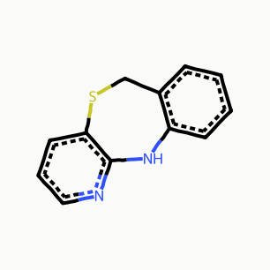 c1ccc2c(c1)CSc1cccnc1N2